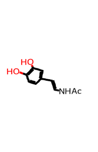 CC(=O)NC=Cc1ccc(O)c(O)c1